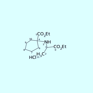 CCOC(=O)C(C)NC1(C(=O)OCC)CCCCC1.Cl